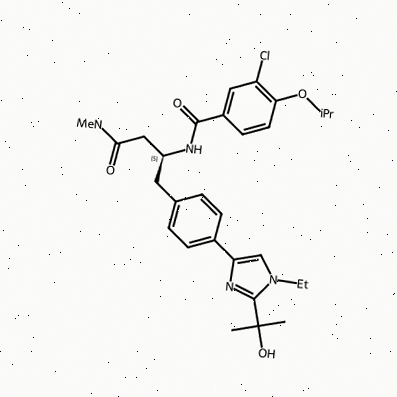 CCn1cc(-c2ccc(C[C@@H](CC(=O)NC)NC(=O)c3ccc(OC(C)C)c(Cl)c3)cc2)nc1C(C)(C)O